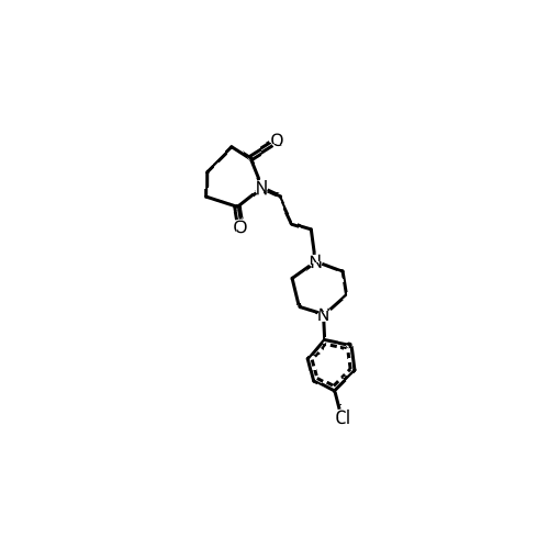 O=C1CCCC(=O)N1CCCN1CCN(c2ccc(Cl)cc2)CC1